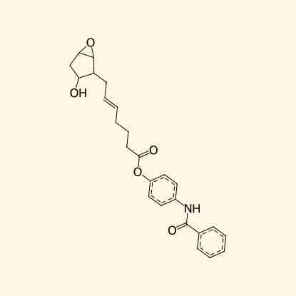 O=C(CCC/C=C/CC1C(O)CC2OC21)Oc1ccc(NC(=O)c2ccccc2)cc1